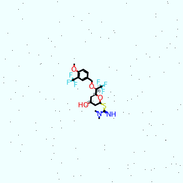 COc1ccc(CO[C@H]([C@@H]2C[C@H](O)CC(SC(=N)N(C)C)O2)C(F)(F)F)cc1C(F)(F)F